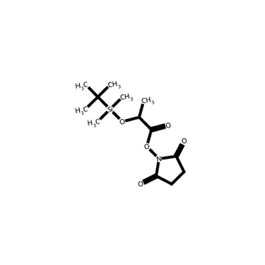 CC(O[Si](C)(C)C(C)(C)C)C(=O)ON1C(=O)CCC1=O